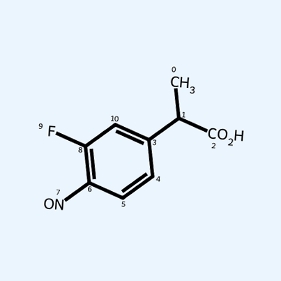 CC(C(=O)O)c1ccc(N=O)c(F)c1